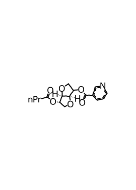 CCCC(=O)O[C@H]1CO[C@@H]2C(OC(=O)c3cccnc3)CO[C@H]12